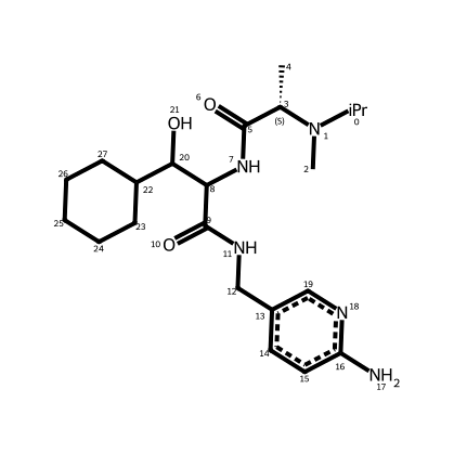 CC(C)N(C)[C@@H](C)C(=O)NC(C(=O)NCc1ccc(N)nc1)C(O)C1CCCCC1